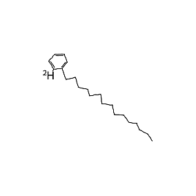 [2H]c1ccccc1CCCCCCCCCCCCCCC